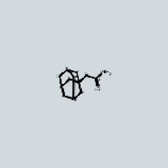 NC(=O)CC12CC3CC(CC(C3)C1)C2